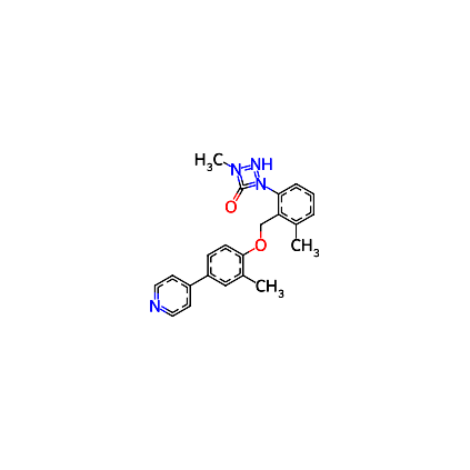 Cc1cc(-c2ccncc2)ccc1OCc1c(C)cccc1-n1[nH]n(C)c1=O